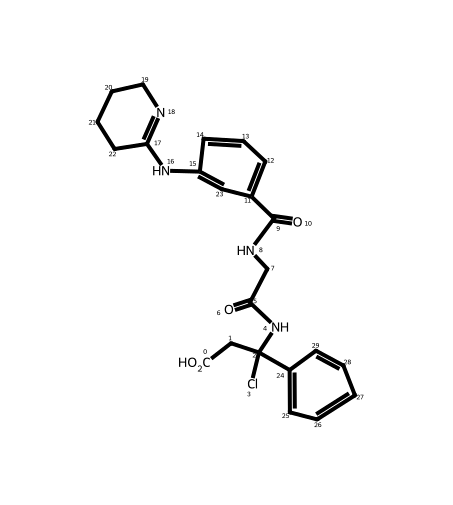 O=C(O)CC(Cl)(NC(=O)CNC(=O)c1cccc(NC2=NCCCC2)c1)c1ccccc1